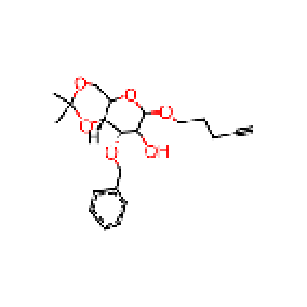 C#CCCCO[C@@H]1OC2COC(C)(C)O[C@H]2[C@@H](OCc2ccccc2)C1O